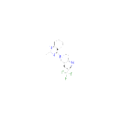 Cc1nc2c(c(N3CCc4ncc(C(F)(F)F)cc4C3)n1)CCCC2